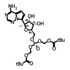 CC(C)(C)C(=O)OCOP(=O)(OCOC(=O)C(C)(C)C)OC[C@H]1O[C@@](C)(c2ccc3c(N)ncnn23)[C@H](O)[C@@H]1O